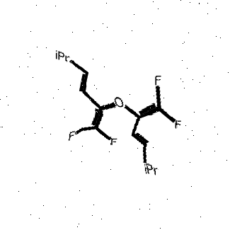 CC(C)C=CC(OC(C=CC(C)C)=C(F)F)=C(F)F